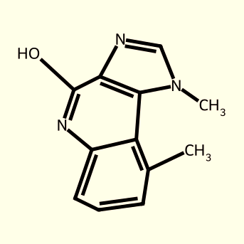 Cc1cccc2nc(O)c3ncn(C)c3c12